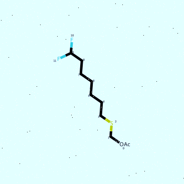 CC(=O)OCSCCCCCCC(F)F